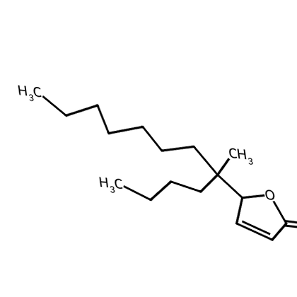 CCCCCCCC(C)(CCCC)C1C=CC(=O)O1